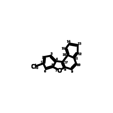 Clc1ccc2c(c1)oc1ccc3ccccc3c12